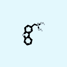 C[SH](C)Cc1ccc2oc3ccccc3c2c1